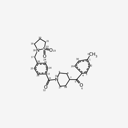 Cc1ccc(C(=O)C2CCN(C(=O)c3ccc(CN4CCCS4(=O)=O)cc3)CC2)cc1